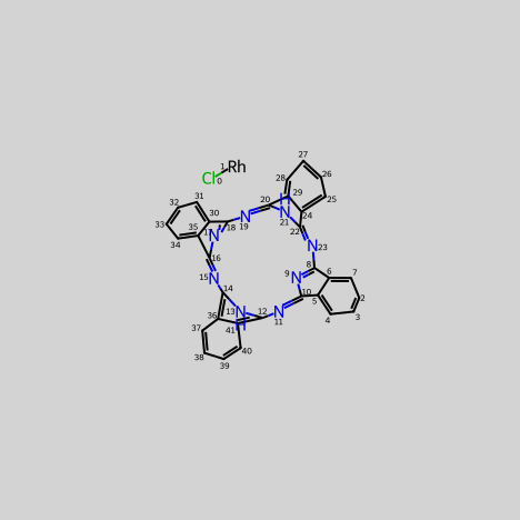 [Cl][Rh].c1ccc2c(c1)-c1nc-2nc2[nH]c(nc3nc(nc4[nH]c(n1)c1ccccc41)-c1ccccc1-3)c1ccccc21